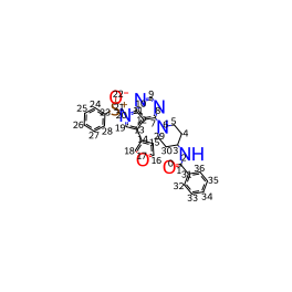 O=C(NC1CCN(c2ncnc3c2c(-c2ccoc2)cn3[S+]([O-])c2ccccc2)CC1)c1ccccc1